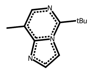 Cc1cnc(C(C)(C)C)n2ccnc12